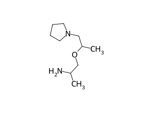 CC(N)COC(C)CN1CCCC1